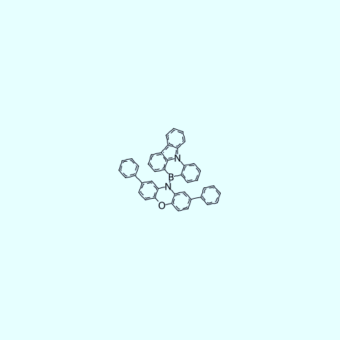 c1ccc(-c2ccc3c(c2)N(B2c4ccccc4-n4c5ccccc5c5cccc2c54)c2cc(-c4ccccc4)ccc2O3)cc1